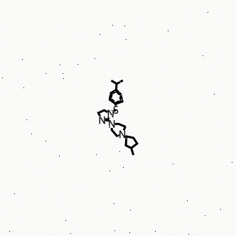 CC1CCC(N2CCN(C3=NCCN3Sc3ccc(C(C)C)cc3)CC2)C1